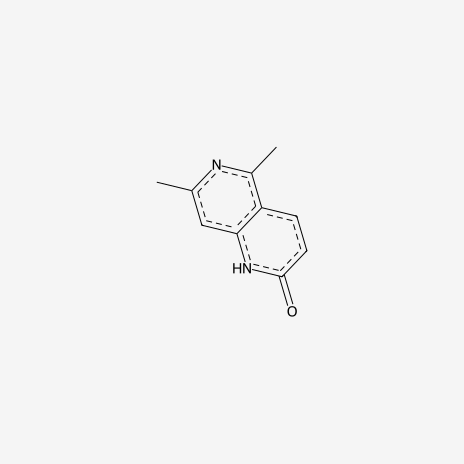 Cc1cc2[nH]c(=O)ccc2c(C)n1